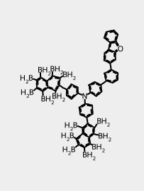 Bc1c(B)c(B)c2c(B)c(-c3ccc(N(c4ccc(-c5cccc(-c6ccc7c(c6)oc6ccccc67)c5)cc4)c4ccc(-c5c(B)c(B)c6c(B)c(B)c(B)c(B)c6c5B)cc4)cc3)c(B)c(B)c2c1B